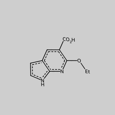 CCOc1nc2[nH]ccc2cc1C(=O)O